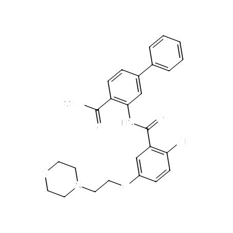 COC(=O)c1ccc(-c2ccccc2)cc1NC(=O)c1cc(OCCN2CCSCC2)ccc1O